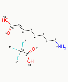 NCCCCCC=CC(=O)O.O=C(O)C(F)(F)F